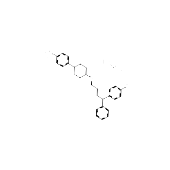 O=[N+]([O-])O.O=[N+]([O-])c1ccc(C2CCC(NCCCC(c3ccccc3)c3ccc(F)cc3)CC2)cc1